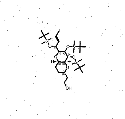 CC(C)(C)[Si](C)(C)O[C@@H]1[C@H](O[Si](C)(C)C(C)(C)C)[C@H]([C@H](C=CI)O[Si](C)(C)C(C)(C)C)O[C@H]2CC[C@H](CCO)O[C@H]12